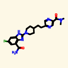 CN(C)C(=O)c1cnc(CCC2CCN(c3nc4c(C(N)=O)cc(F)cc4[nH]3)CC2)cn1